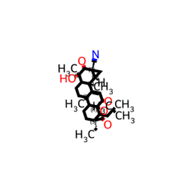 CC[C@@]12CCC3[C@](OC1=O)(C(=O)C=C1[C@@]3(C)CCC3[C@](C)(O)C(=O)[C@]4(C#N)C[C@@H]4[C@]13C)C2CC(C)(C)C